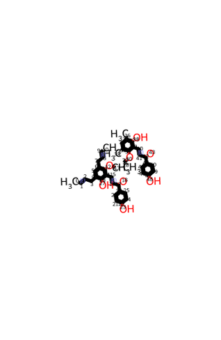 C/C=C/Cc1cc(C/C=C/C)c(OC)c(/C=C/C(=O)c2ccc(O)cc2)c1O.CCOc1c(C)cc(C)c(O)c1/C=C/C(=O)c1ccc(O)cc1